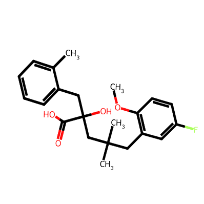 COc1ccc(F)cc1CC(C)(C)CC(O)(Cc1ccccc1C)C(=O)O